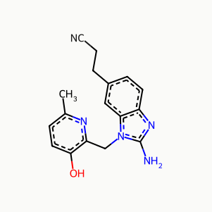 Cc1ccc(O)c(Cn2c(N)nc3ccc(CCC#N)cc32)n1